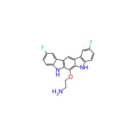 NCCOc1c2[nH]c3ccc(F)cc3c2cc2c1[nH]c1ccc(F)cc12